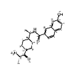 CC(NC(=O)c1ccc2ccc(O)nc2c1)C1CCN(C(=O)[C@H](C)N)CC1